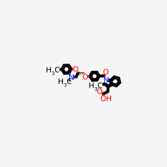 Cc1ccc2c(c1)N(C)C[C@@H](COc1ccc(C(=O)n3c(C)c(CC(=O)O)c4ccccc43)cc1)O2